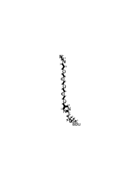 CCCC[Si](C)(C)O[Si](C)(C)CSc1ncc(COCCOCCOCCOCCOCCCN=[N+]=[N-])cn1